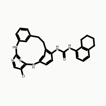 O=C(Nc1ccc2cc1CCc1cccc(c1)Nc1ncc(Cl)c(n1)N2)Nc1cccc2c1CCCC2